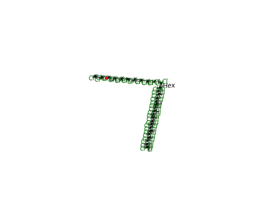 CCCCCCC(Cl)Cl.ClCCl.ClCCl.ClCCl.ClCCl.ClCCl.ClCCl.ClCCl.ClCCl.ClCCl.ClCCl.ClCCl.ClCCl.ClCCl.ClCCl.ClCCl.ClCCl.ClCCl.ClCCl.ClCCl.ClCCl.ClCCl.ClCCl.ClCCl.ClCCl.ClCCl.ClCCl.ClCCl.ClCCl.ClCCl